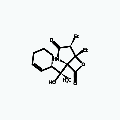 CC[C@H]1C(=O)N[C@@]2([C@@](C)(O)[C@@H]3C=CCCC3)C(=O)O[C@@]12CC